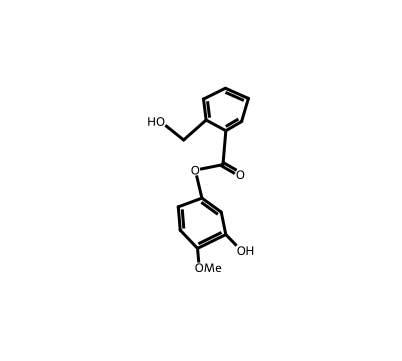 COc1ccc(OC(=O)c2ccccc2CO)cc1O